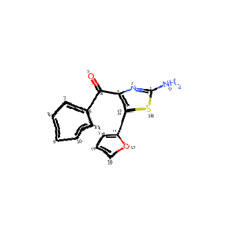 Nc1nc(C(=O)c2ccccc2)c(-c2ccco2)s1